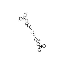 CC1(C)C2=CC(/C=C/c3ccc(/C=C/c4ccc5c(c4)C(C)(C)c4cc(N(c6ccccc6)c6ccccc6)ccc4-5)cc3)=CCC2c2ccc(N(C3=CC=CCC3)c3ccccc3)cc21